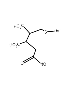 CC(=O)SCC(C(=O)O)C(CC(=O)N=O)C(=O)O